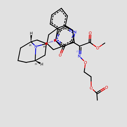 COC(=O)/C(=N\OCCOC(C)=O)c1nc2ccccc2n([C@H]2C[C@H]3CCC[C@@H](C2)N3C2CC3CCCC(C3)C2)c1=O